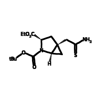 CCOC(=O)[C@@H]1C[C@@]2(CC(N)=S)C[C@H]2N1C(=O)OC(C)(C)C